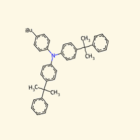 CCC(C)c1ccc(N(c2ccc(C(C)(C)c3ccccc3)cc2)c2ccc(C(C)(C)c3ccccc3)cc2)cc1